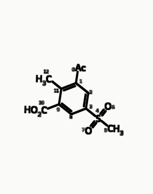 CC(=O)c1cc(S(C)(=O)=O)cc(C(=O)O)c1C